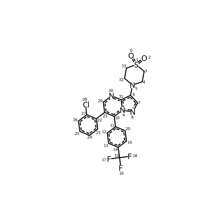 O=S1(=O)CCN(c2cnn3c(-c4ccc(C(F)(F)F)cc4)c(-c4ccccc4Cl)cnc23)CC1